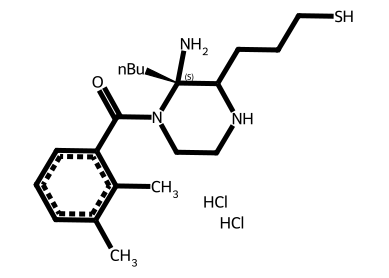 CCCC[C@@]1(N)C(CCCS)NCCN1C(=O)c1cccc(C)c1C.Cl.Cl